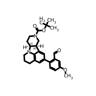 COc1ccc(-c2cc3c4c(c2)[C@@H]2CN(C(=O)OC(C)(C)C)CC[C@@H]2N4CCC3)c(C=O)c1